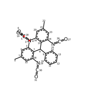 Cc1cc(N=C=O)c(C(c2ccccc2)c2c(N=C=O)cc(C)cc2N=C=O)c(N=C=O)c1